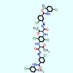 CC(=O)C(Nc1cc(Cl)c(NC(C(C)=O)C(=O)/N=N/c2cc(C(=O)Nc3cc(Cl)ccc3C)ccc2Cl)cc1Cl)C(=O)/N=N/c1cc(C(=O)Nc2cc(Cl)ccc2C)ccc1Cl